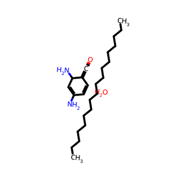 CCCCCCCCCCCCCCCCCC.NC1=CC(N)C(=C=O)C=C1.O